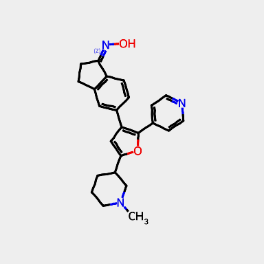 CN1CCCC(c2cc(-c3ccc4c(c3)CC/C4=N/O)c(-c3ccncc3)o2)C1